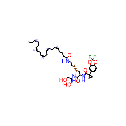 CC/C=C\C/C=C\C/C=C\C/C=C\C/C=C\CCCC(=O)NCCSSCC(NC(=O)C1(c2ccc3c(c2)OC(F)(F)O3)CC1)C(=O)NC(CO)CO